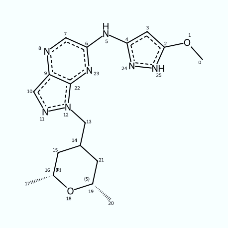 COc1cc(Nc2cnc3cnn(CC4C[C@@H](C)O[C@@H](C)C4)c3n2)n[nH]1